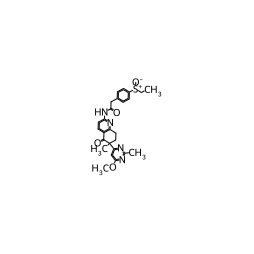 CC[S+]([O-])c1ccc(CC(=O)Nc2ccc3c(n2)CCC(C)(c2cc(OC)nc(C)n2)C3=O)cc1